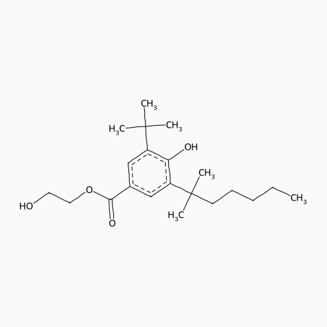 CCCCCC(C)(C)c1cc(C(=O)OCCO)cc(C(C)(C)C)c1O